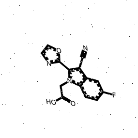 N#Cc1c(-c2ncco2)n(CC(=O)O)c2ccc(F)cc12